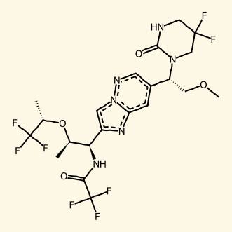 COC[C@H](c1cnn2cc([C@@H](NC(=O)C(F)(F)F)[C@@H](C)O[C@@H](C)C(F)(F)F)nc2c1)N1CC(F)(F)CNC1=O